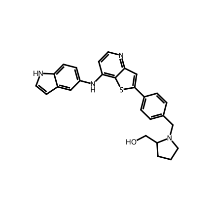 OCC1CCCN1Cc1ccc(-c2cc3nccc(Nc4ccc5[nH]ccc5c4)c3s2)cc1